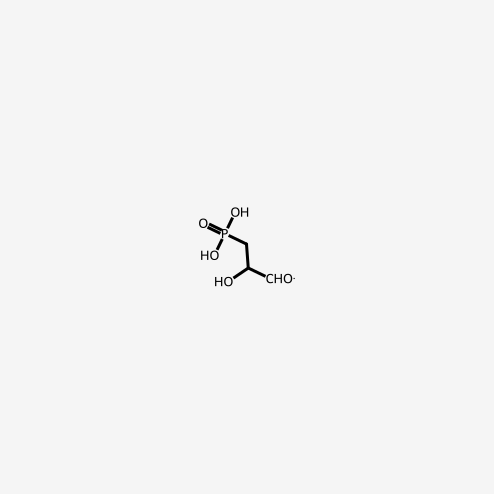 O=[C]C(O)CP(=O)(O)O